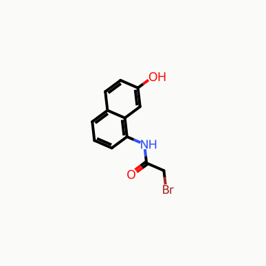 O=C(CBr)Nc1cccc2ccc(O)cc12